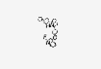 CC[C@H](NC(=O)c1ccc(Cl)cc1)[C@H]1CC[C@@H](Oc2cc(CF)nc3ccccc23)CC1